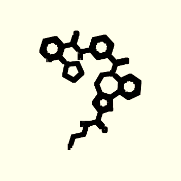 O=C(NCCF)c1cc2c(s1)-c1ccccc1N(C(=O)c1cccc(NC(=O)c3cccnc3N3CCCC3)c1)CC2